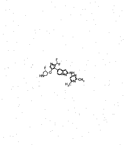 Cc1cc(Nc2cc3cc(-c4c(O[C@@H]5CNC[C@@H]5F)cnn4C(F)F)ccn3n2)nc(C)n1